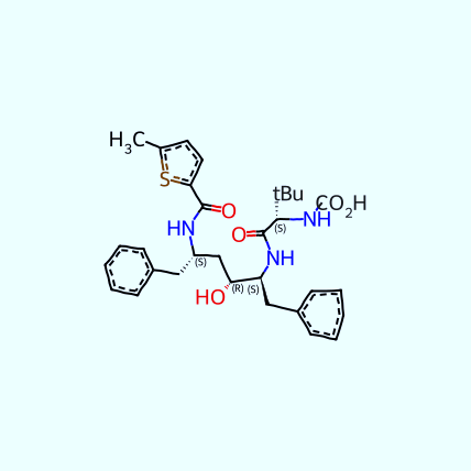 Cc1ccc(C(=O)N[C@@H](Cc2ccccc2)C[C@@H](O)[C@H](Cc2ccccc2)NC(=O)[C@@H](NC(=O)O)C(C)(C)C)s1